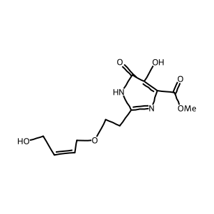 COC(=O)c1nc(CCOC/C=C\CO)[nH]c(=O)c1O